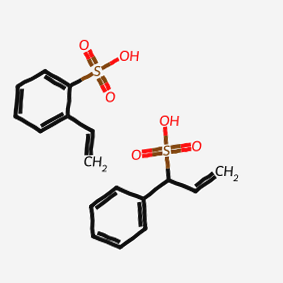 C=CC(c1ccccc1)S(=O)(=O)O.C=Cc1ccccc1S(=O)(=O)O